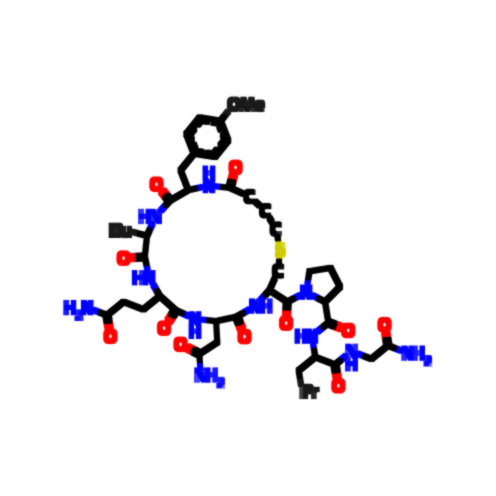 CCC(C)C1NC(=O)C(Cc2ccc(OC)cc2)NC(=O)CCCSCC(C(=O)N2CCCC2C(=O)NC(CC(C)C)C(=O)NCC(N)=O)NC(=O)C(CC(N)=O)NC(=O)C(CCC(N)=O)NC1=O